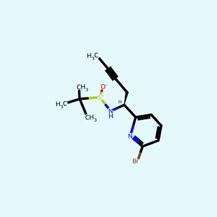 CC#CC[C@H](N[S+]([O-])C(C)(C)C)c1cccc(Br)n1